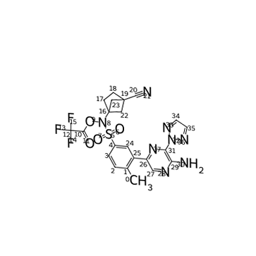 Cc1ccc(S(=O)(=O)N(OC(=O)C(F)(F)F)C23CCC(C#N)(C2)C3)cc1-c1cnc(N)c(-n2nccn2)n1